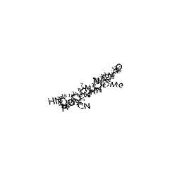 COc1cc(Nc2nccc(-c3ccc(OC4CCNCC4(F)F)c(C#N)c3)n2)cnc1N1CCN(C2COC2)CC1